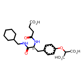 O=C(O)CCC(=O)N[C@@H](Cc1ccc(OC(C(=O)O)C(=O)O)cc1)C(=O)NCC1CCCCC1